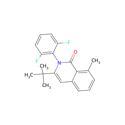 Cc1cccc2cc(C(C)(C)C)n(-c3c(F)cccc3F)c(=O)c12